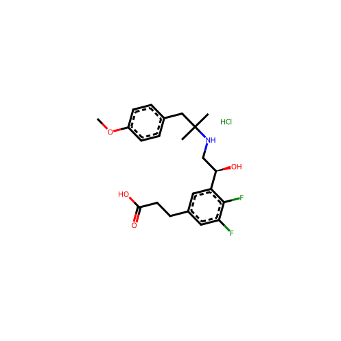 COc1ccc(CC(C)(C)NC[C@@H](O)c2cc(CCC(=O)O)cc(F)c2F)cc1.Cl